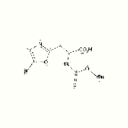 CC(C)(C)OC(=O)NC(Cc1ncc(Br)o1)C(=O)O